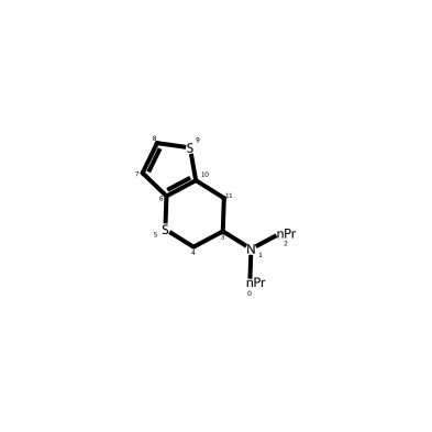 CCCN(CCC)C1CSc2ccsc2C1